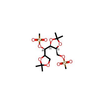 CC1(C)OCC([C@@H](OS(C)(=O)=O)[C@H]2OC(C)(C)O[C@H]2COS(C)(=O)=O)O1